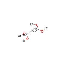 CCO[SiH](C=C[SiH](OCC)OCC)OCC